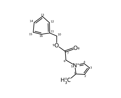 CC1C=CC=[N+]1CC(=O)OCc1ccccc1